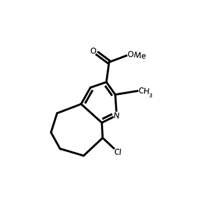 COC(=O)c1cc2c(nc1C)C(Cl)CCCC2